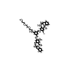 COCCOCCOCCNc1cc(COc2cc3c(cc2C)C(=O)N2c4ccccc4C[C@H]2CN3)cc(COc2cc3c(cc2OC)C(=O)N2c4ccccc4C[C@H]2C=N3)c1